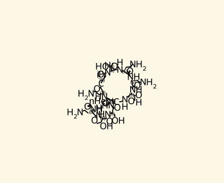 CCCCCCCC(=O)N[C@@H](CCN)C(=O)N[C@H](C(=O)N[C@H](CO)C(=O)N[C@H]1CCNC(=O)[C@H](C(C)O)NC(=O)[C@H](CCN)NC(=O)[C@H](CCN)NC(=O)[C@H]([C@H](C)O)NC(=O)[C@@H](CC(C)C)CC(=O)[C@H](CCN)NC1=O)C(C)O